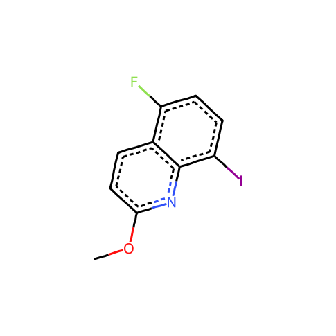 COc1ccc2c(F)ccc(I)c2n1